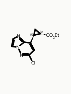 CCOC(=O)[C@H]1C[C@@H]1c1cc(Cl)nn2ccnc12